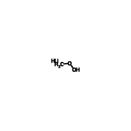 COO.[LiH]